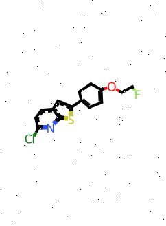 FCCOC1=CC=C(c2cc3ccc(Cl)nc3s2)CC1